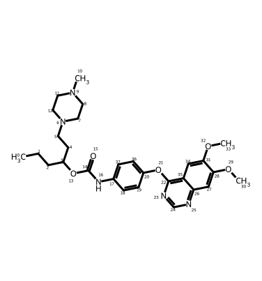 CCCC(CCN1CCN(C)CC1)OC(=O)Nc1ccc(Oc2ncnc3cc(OC)c(OC)cc23)cc1